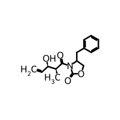 C=C[C@@H](O)[C@H](C)C(=O)N1C(=O)OCC1Cc1ccccc1